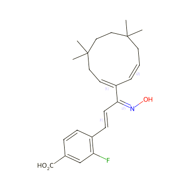 CC1(C)C\C=C/C(C(/C=C/c2ccc(C(=O)O)cc2F)=N\O)=C\CC(C)(C)CC1